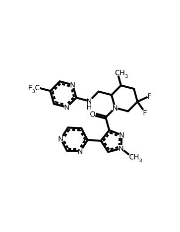 CC1CC(F)(F)CN(C(=O)c2nn(C)cc2-c2ccncn2)C1CNc1ncc(C(F)(F)F)cn1